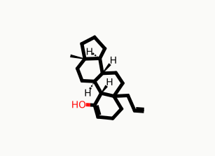 C=CCC12CCC=C(O)[C@@H]1[C@H]1CC[C@]3(C)CCC[C@H]3[C@@H]1CC2